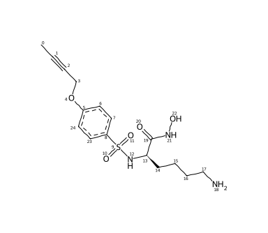 CC#CCOc1ccc(S(=O)(=O)N[C@H](CCCCN)C(=O)NO)cc1